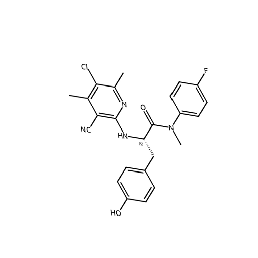 Cc1nc(N[C@@H](Cc2ccc(O)cc2)C(=O)N(C)c2ccc(F)cc2)c(C#N)c(C)c1Cl